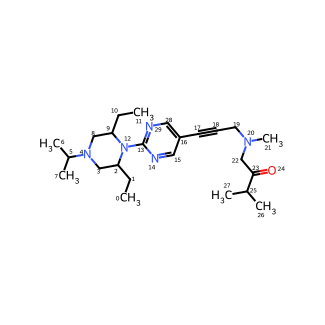 CCC1CN(C(C)C)CC(CC)N1c1ncc(C#CCN(C)CC(=O)C(C)C)cn1